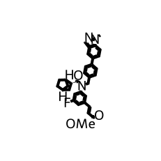 COC(=O)/C=C/c1cc(F)cc(N(Cc2ccc(-c3ccc4c(cnn4C)c3)cc2)C(=O)[C@@H]2C[C@@H]3CC[C@H]2C3)c1